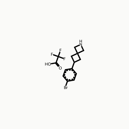 Brc1ccc(C2CC3(CNC3)C2)cc1.O=C(O)C(F)(F)F